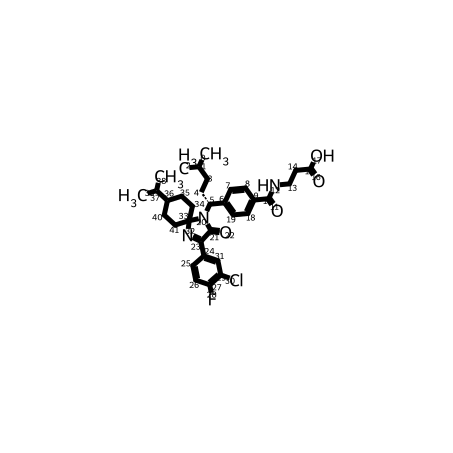 CC(C)CC[C@H](c1ccc(C(=O)NCCC(=O)O)cc1)N1C(=O)C(c2ccc(F)c(Cl)c2)=NC12CCC(C(C)C)CC2